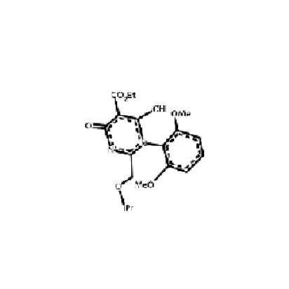 CCOC(=O)c1c(O)n(-c2c(OC)cccc2OC)c(COC(C)C)nc1=O